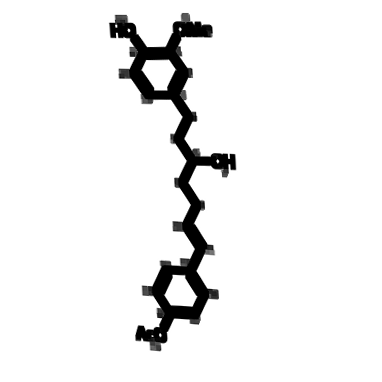 COc1cc(CCC(O)CC/C=C/c2ccc(OC(C)=O)cc2)ccc1O